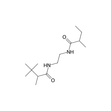 CCC(C)C(=O)NCCNC(=O)C(C)C(C)(C)C